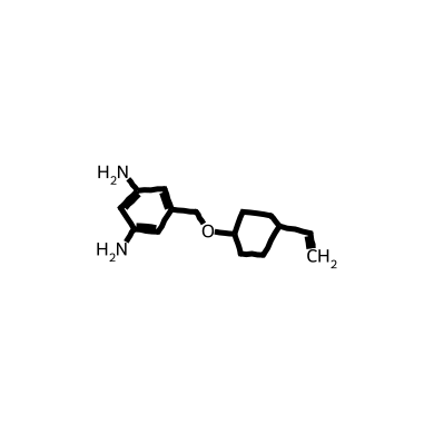 C=CC1CCC(OCc2cc(N)cc(N)c2)CC1